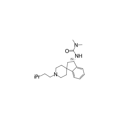 CC(C)CCN1CCC2(CC1)C[C@H](NC(=O)N(C)C)c1ccccc12